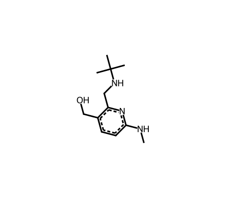 CNc1ccc(CO)c(CNC(C)(C)C)n1